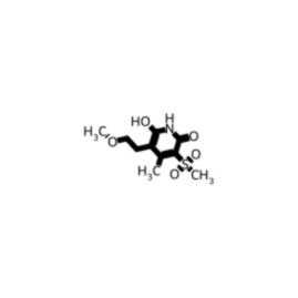 COCCc1c(O)[nH]c(=O)c(S(C)(=O)=O)c1C